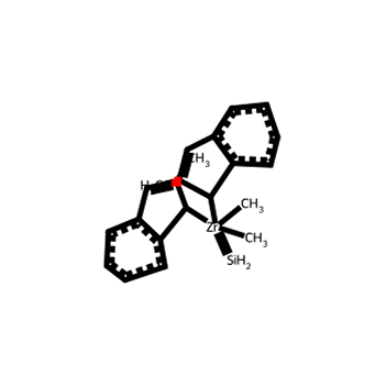 CC1=Cc2ccccc2[CH]1[Zr]([CH3])([CH3])(=[SiH2])[CH]1C(C)=Cc2ccccc21